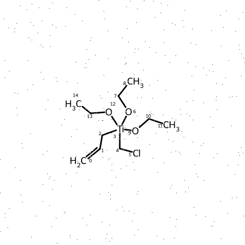 C=C[CH2][Ti]([CH2]Cl)([O]CC)([O]CC)[O]CC